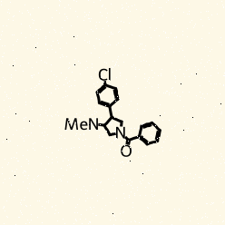 CNC1CN(C(=O)c2ccccc2)CC1c1ccc(Cl)cc1